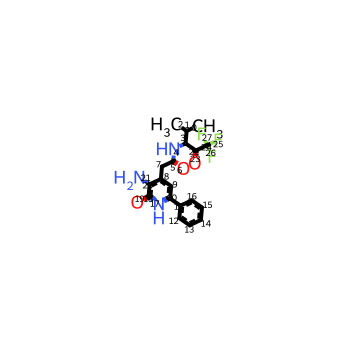 CC(C)C(NC(=O)Cc1cc(-c2ccccc2)[nH]c(=O)c1N)C(=O)C(F)(F)F